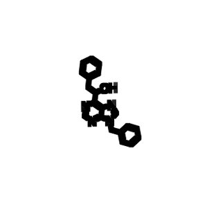 OC(Cc1ccccc1)c1ncnc2c1ncn2Cc1ccccc1